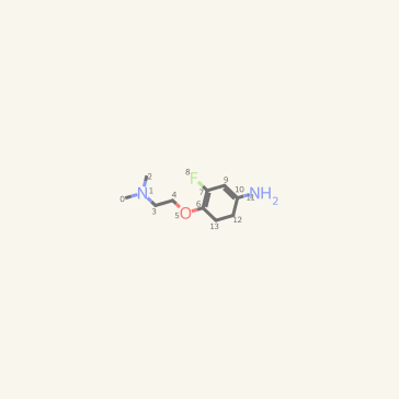 CN(C)CCOC1=C(F)C=C(N)CC1